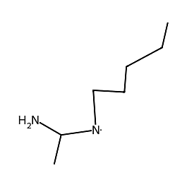 CCCCC[N]C(C)N